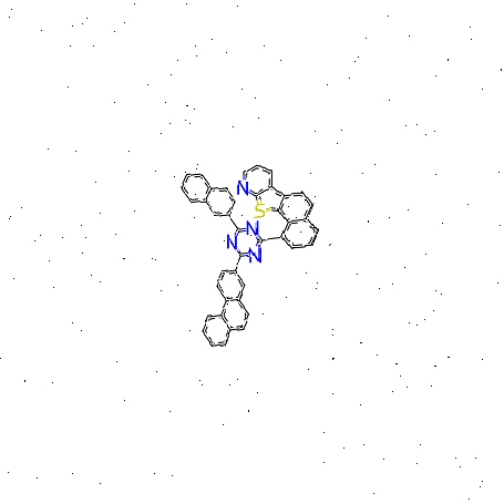 c1ccc2cc(-c3nc(-c4ccc5c(ccc6ccccc65)c4)nc(-c4cccc5ccc6c7cccnc7sc6c45)n3)ccc2c1